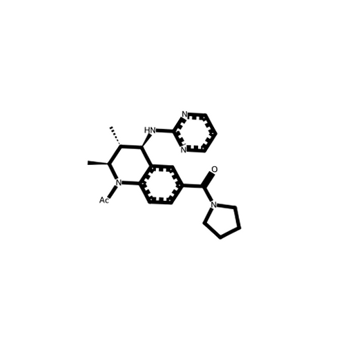 CC(=O)N1c2ccc(C(=O)N3CCCC3)cc2[C@H](Nc2ncccn2)[C@@H](C)[C@@H]1C